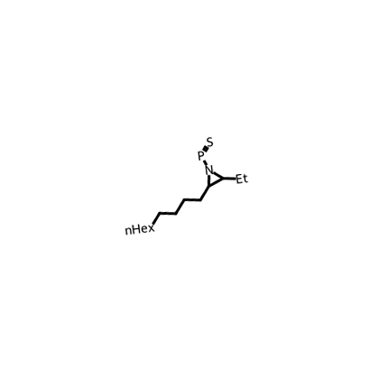 CCCCCCCCCCC1C(CC)N1P=S